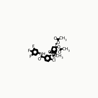 CC(=O)OC[C@@]1(OC(C)=O)CC2C[C@H](C)C1[C@@H]2S(=O)(=O)c1cc(C(=O)Nc2cc(F)c(F)c(F)c2)ccc1Cl